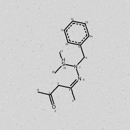 CC(=O)CC(C)=NN(Cc1ccccc1)[SiH](C)C